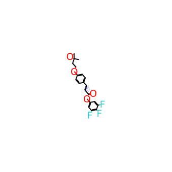 CC1(CCOc2ccc(/C=C/C(=O)Oc3cc(F)c(F)c(F)c3)cc2)CO1